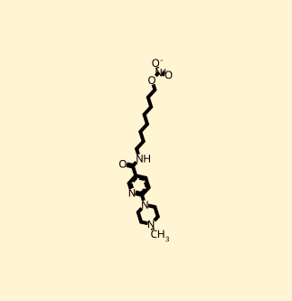 CN1CCN(c2ccc(C(=O)NCCCCCCCCO[N+](=O)[O-])cn2)CC1